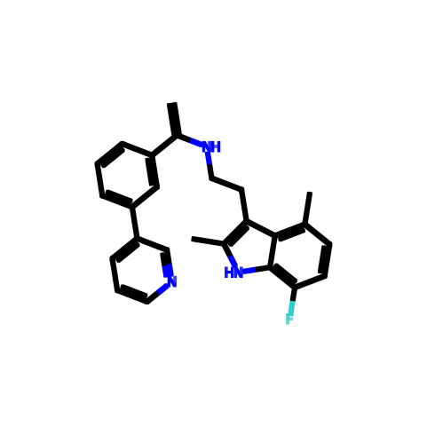 C=C(NCCc1c(C)[nH]c2c(F)ccc(C)c12)c1cccc(-c2cccnc2)c1